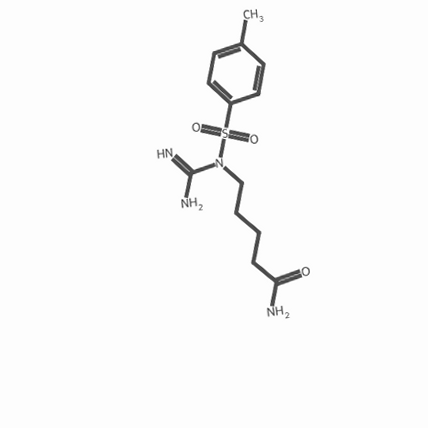 Cc1ccc(S(=O)(=O)N(CCCCC(N)=O)C(=N)N)cc1